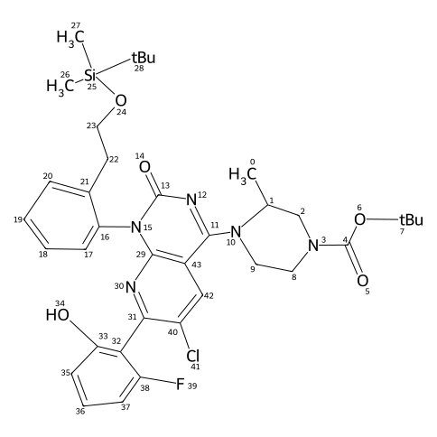 CC1CN(C(=O)OC(C)(C)C)CCN1c1nc(=O)n(-c2ccccc2CCO[Si](C)(C)C(C)(C)C)c2nc(-c3c(O)cccc3F)c(Cl)cc12